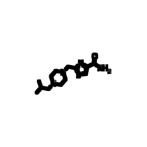 CC(C)CN1CCN(Cc2nc(C(N)=O)cs2)CC1